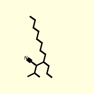 CCCCCCCCC(CCC)C(C#N)C(C)C